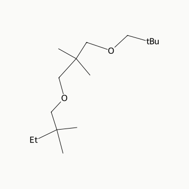 CCC(C)(C)COCC(C)(C)COCC(C)(C)C